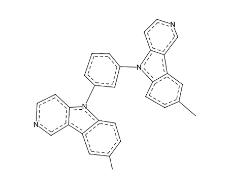 Cc1ccc2c(c1)c1cnccc1n2-c1cccc(-n2c3ccncc3c3cc(C)ccc32)c1